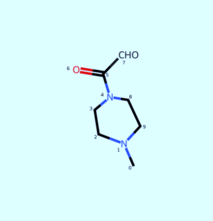 CN1CCN(C(=O)C=O)CC1